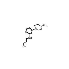 CN1CCN(c2ccnc(NCCCO)c2)CC1